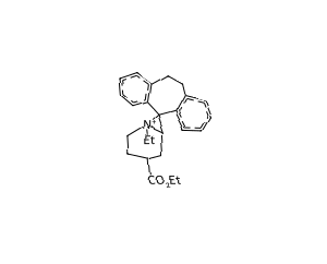 CCOC(=O)C1CC[N+]2(CC)C(C1)C21c2ccccc2CCc2ccccc21